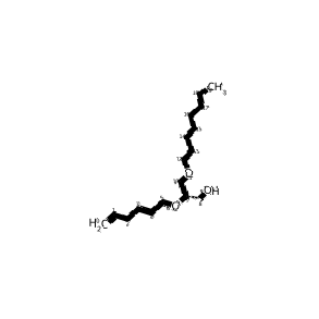 C=CCCCCO[C@@H](CO)COCCCCCCCC